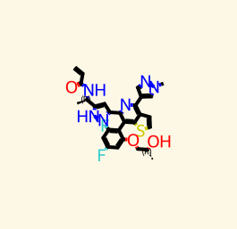 C=CC(=O)N[C@H](C)c1cc(-c2nc(-c3cnn(C)c3)c3ccsc3c2-c2c(F)cc(F)cc2OC[C@@H](C)O)n[nH]1